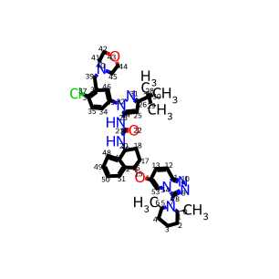 C[C@@H]1CCC[C@H](C)N1c1nnc2ccc(O[C@@H]3CC[C@H](NC(=O)Nc4cc(C(C)(C)C)nn4-c4ccc(Cl)c(CN5CCOCC5)c4)c4ccccc43)cn12